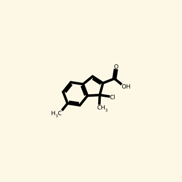 Cc1ccc2c(c1)C(C)(Cl)C(C(=O)O)=C2